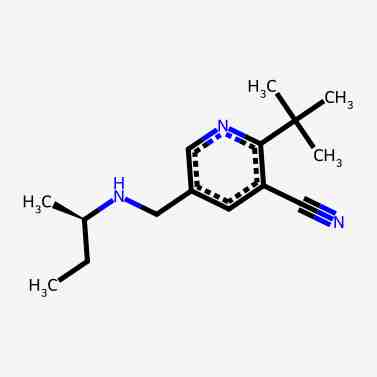 CC[C@@H](C)NCc1cnc(C(C)(C)C)c(C#N)c1